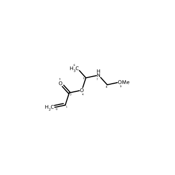 C=CC(=O)OC(C)NCOC